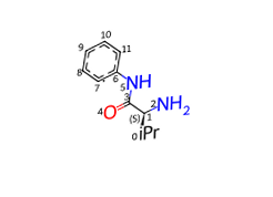 CC(C)[C@H](N)C(=O)Nc1[c]cccc1